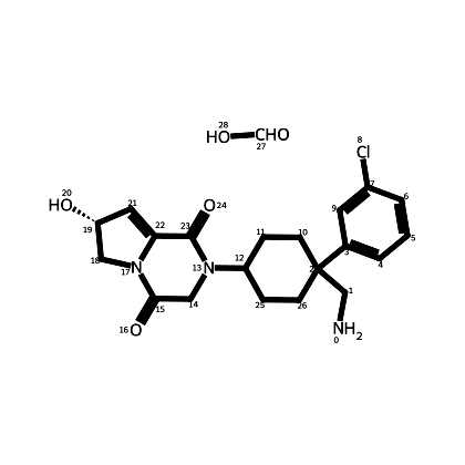 NCC1(c2cccc(Cl)c2)CCC(N2CC(=O)N3C[C@H](O)C=C3C2=O)CC1.O=CO